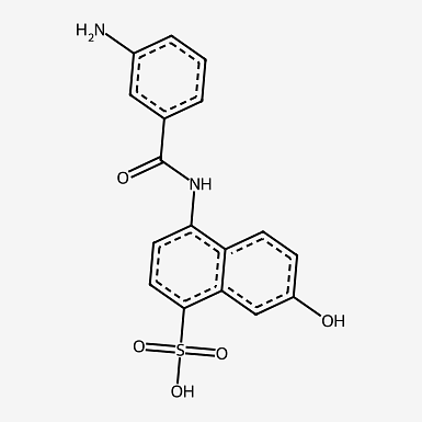 Nc1cccc(C(=O)Nc2ccc(S(=O)(=O)O)c3cc(O)ccc23)c1